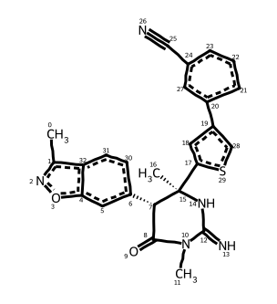 Cc1noc2cc([C@H]3C(=O)N(C)C(=N)N[C@]3(C)c3cc(-c4cccc(C#N)c4)cs3)ccc12